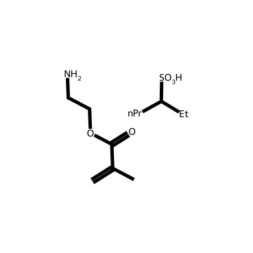 C=C(C)C(=O)OCCN.CCCC(CC)S(=O)(=O)O